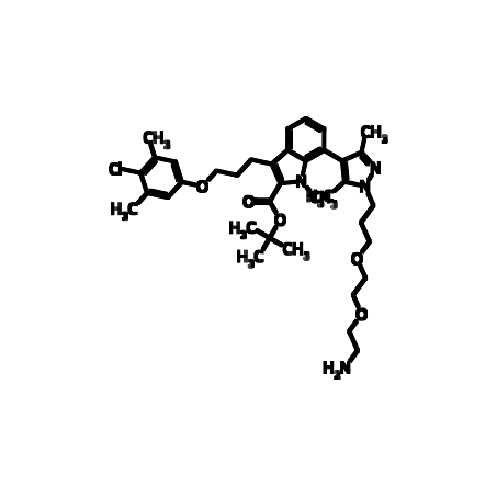 Cc1cc(OCCCc2c(C(=O)OC(C)(C)C)n(C)c3c(-c4c(C)nn(CCCOCCOCCN)c4C)cccc23)cc(C)c1Cl